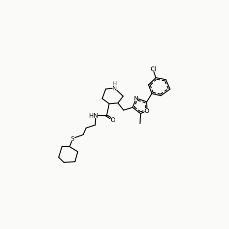 Cc1oc(-c2cccc(Cl)c2)nc1CC1CNCCC1C(=O)NCCCSC1CCCCC1